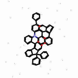 c1ccc(-c2ccc(N(c3ccccc3-c3cccc4c3-c3ccccc3C4(c3ccccc3)c3ccccc3)c3ccccc3-c3cccc4cccc(-c5ccccc5)c34)cc2)cc1